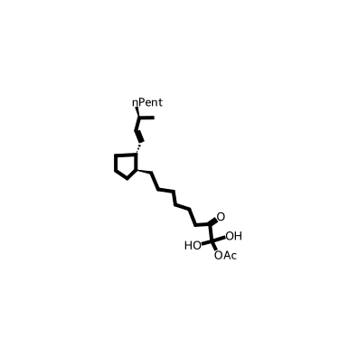 CCCCC[C@@H](C)C=C[C@H]1CCC[C@@H]1CCCCCCC(=O)C(O)(O)OC(C)=O